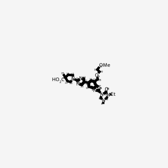 CCN1CN(C)CN(c2nc3cc(-c4cnc(N5CCC(C)(C(=O)O)CC5)nc4)cc(COCCOC)c3s2)C1=O